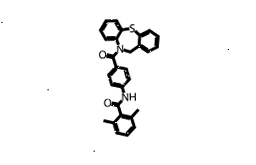 Cc1cccc(C)c1C(=O)Nc1ccc(C(=O)N2Cc3ccccc3Sc3ccccc32)cc1